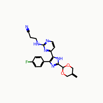 C=C1COC(c2nc(-c3ccc(F)cc3)c(-c3ccnc(NCCC#N)n3)[nH]2)OC1